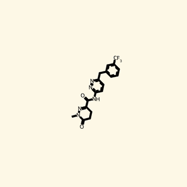 CN1N=C(C(=O)Nc2ccc(Cc3cccc(C(F)(F)F)c3)nn2)CCC1=O